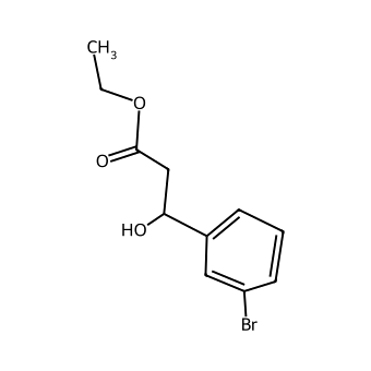 CCOC(=O)CC(O)c1cccc(Br)c1